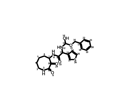 O=C1NCCCCC(NC(=O)C(NC(O)OCc2ccccc2)c2ccsc2)C1=O